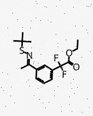 CCOC(=O)C(F)(F)c1cccc(/C(C)=N/SC(C)(C)C)c1